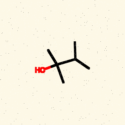 CC(C)C(C)(C)O